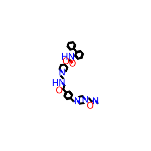 CN(C)C(=O)CN1CCN(Cc2ccc(C(=O)CNCCN3CCC(OC(=O)Nc4ccccc4-c4ccccc4)CC3)cc2)CC1